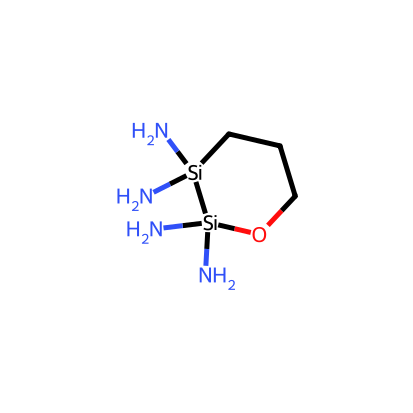 N[Si]1(N)CCCO[Si]1(N)N